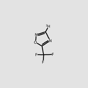 [2H]c1noc(C(F)(F)F)n1